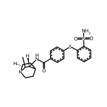 C[C@H]1[C@H](NC(=O)c2ccc(Sc3ccccc3S(N)(=O)=O)cc2)C2CCN1CC2